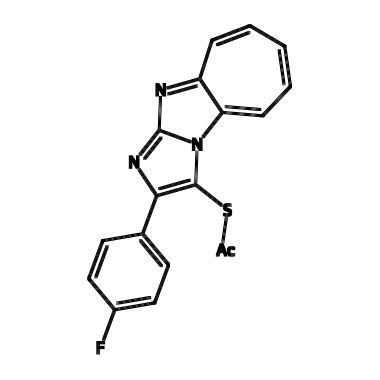 CC(=O)Sc1c(-c2ccc(F)cc2)nc2nc3cccccc3n12